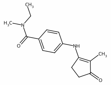 CCN(C)C(=O)c1ccc(NC2=C(C)C(=O)CC2)cc1